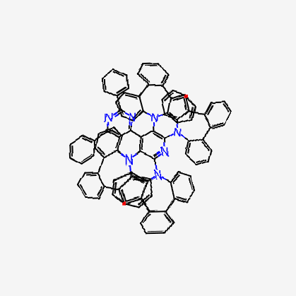 c1ccc(-c2cc(-c3c(N4c5ccccc5-c5ccccc5-c5ccccc54)c(N4c5ccccc5-c5ccccc5-c5ccccc54)nc(N4c5ccccc5-c5ccccc5-c5ccccc54)c3N3c4ccccc4-c4ccccc4-c4ccccc43)nc(-c3ccccc3)n2)cc1